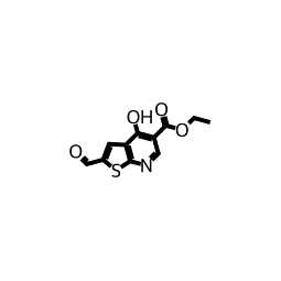 CCOC(=O)c1cnc2sc(C=O)cc2c1O